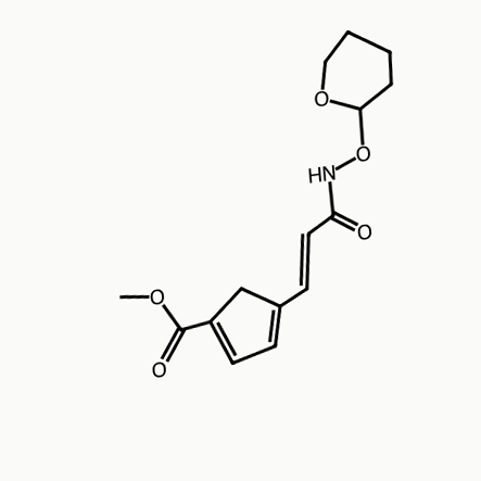 COC(=O)C1=CC=C(/C=C/C(=O)NOC2CCCCO2)C1